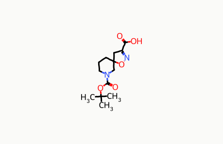 CC(C)(C)OC(=O)N1CCCC2(CC(C(=O)O)=NO2)C1